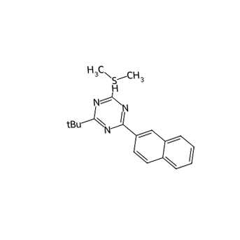 C[SH](C)c1nc(-c2ccc3ccccc3c2)nc(C(C)(C)C)n1